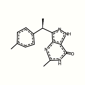 Cc1ccc([C@@H](C)c2n[nH]c3c(=O)[nH]c(C)nc23)cc1